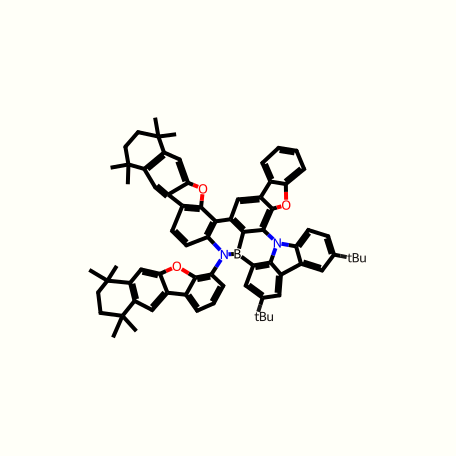 CC(C)(C)c1ccc2c(c1)c1cc(C(C)(C)C)cc3c1n2-c1c2c(cc4c1oc1ccccc14)-c1c(ccc4c1oc1cc5c(cc14)C(C)(C)CCC5(C)C)N(c1cccc4c1oc1cc5c(cc14)C(C)(C)CCC5(C)C)B23